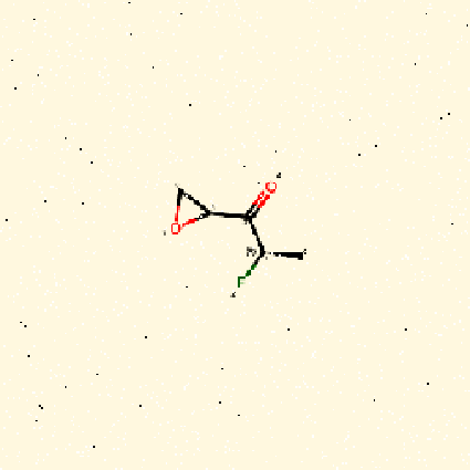 C[C@@H](F)C(=O)C1CO1